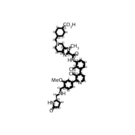 COc1cc(-c2nccc(-c3cccc(NC(=O)c4nc5c(n4C)CN(CC4CCC(C(=O)O)CC4)CC5)c3Cl)c2Cl)ccc1CNC[C@H]1CCC(=O)N1